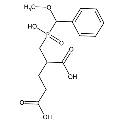 COC(c1ccccc1)P(=O)(O)CC(CCC(=O)O)C(=O)O